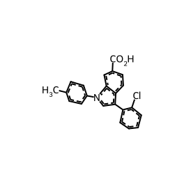 Cc1ccc(-n2cc(-c3ccccc3Cl)c3ccc(C(=O)O)cc32)cc1